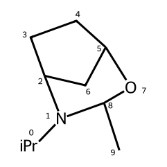 CC(C)N1C2CCC(C2)OC1C